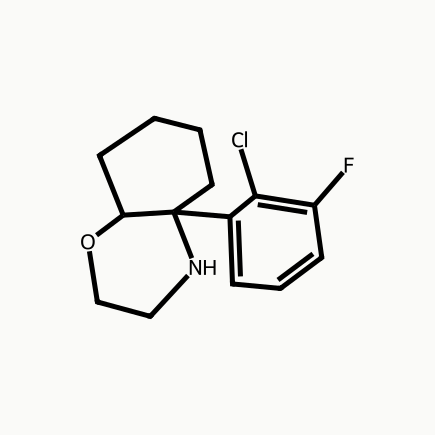 Fc1cccc(C23CCCCC2OCCN3)c1Cl